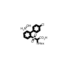 CCCCCCC(C(=O)O)S(=O)(=O)c1ccccc1-c1ccc(Cl)cc1.NO